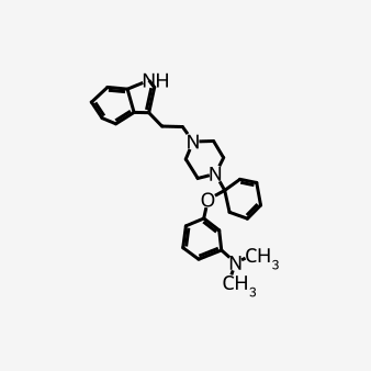 CN(C)c1cccc(OC2(N3CCN(CCc4c[nH]c5ccccc45)CC3)C=CC=CC2)c1